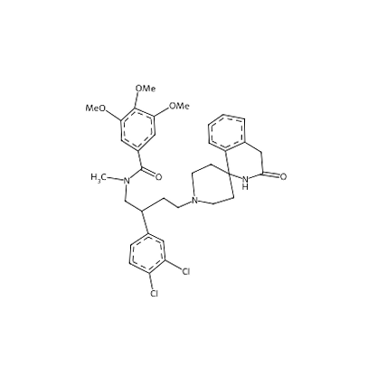 COc1cc(C(=O)N(C)CC(CCN2CCC3(CC2)NC(=O)Cc2ccccc23)c2ccc(Cl)c(Cl)c2)cc(OC)c1OC